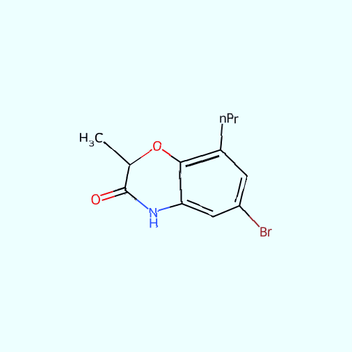 CCCc1cc(Br)cc2c1OC(C)C(=O)N2